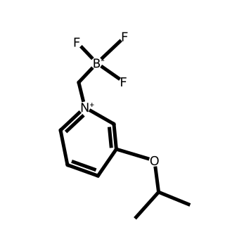 CC(C)Oc1ccc[n+](C[B-](F)(F)F)c1